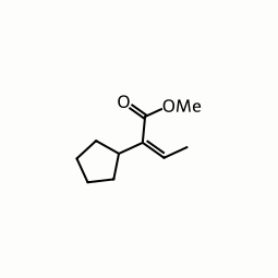 CC=C(C(=O)OC)C1CCCC1